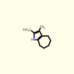 CCOC(=O)c1[nH]c2c(c1C)CCCCC2